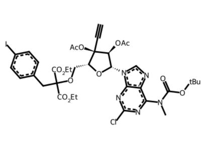 C#C[C@@]1(OC(C)=O)[C@@H](COC(Cc2ccc(I)cc2)(C(=O)OCC)C(=O)OCC)O[C@@H](n2cnc3c(N(C)C(=O)OC(C)(C)C)nc(Cl)nc32)[C@@H]1OC(C)=O